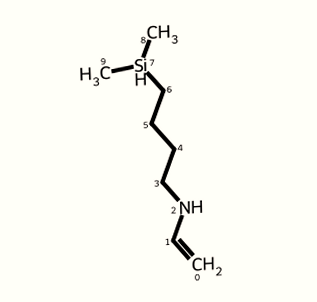 C=CNCCCC[SiH](C)C